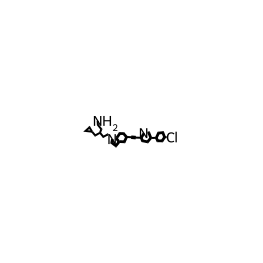 NCCC(CCn1ccc2cc(C#Cc3ccc(-c4ccc(Cl)cc4)cn3)ccc21)CC1CC1